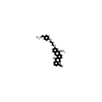 N#Cc1cccc(C(=O)c2c(C#N)ccc(C(N)=O)c2Cc2ccc(OCCCOc3ccc(CN)cc3)cc2)c1